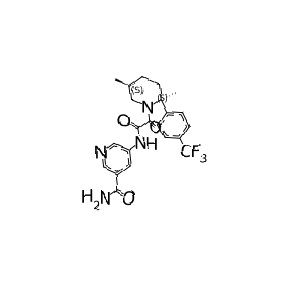 C[C@H]1CC[C@@](C)(c2ccc(C(F)(F)F)cc2)N(C(=O)C(=O)Nc2cncc(C(N)=O)c2)C1